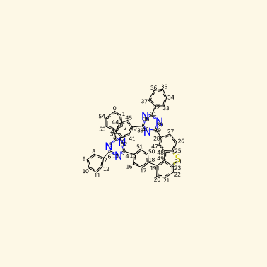 c1ccc(-c2nc(-c3ccccc3)nc(-c3ccc(-c4cccc5sc6ccc(-c7nc(-c8ccccc8)nc(-c8ccccc8)n7)cc6c45)cc3)n2)cc1